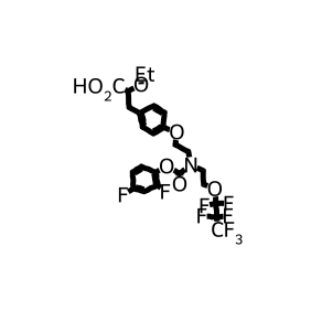 CCOC(Cc1ccc(OCCN(CCOC(F)(F)C(F)(F)C(F)(F)F)C(=O)Oc2ccc(F)cc2F)cc1)C(=O)O